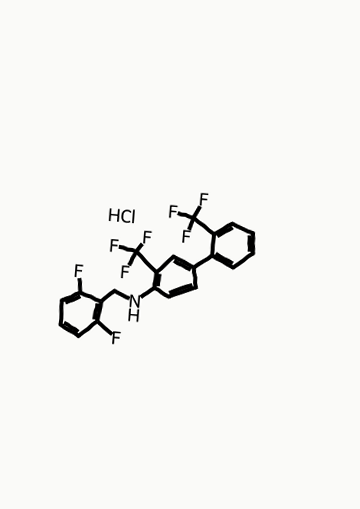 Cl.Fc1cccc(F)c1CNc1ccc(-c2ccccc2C(F)(F)F)cc1C(F)(F)F